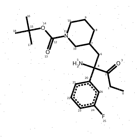 CCC(=O)C(N)(CC1CCCN(C(=O)OC(C)(C)C)C1)c1cccc(F)c1